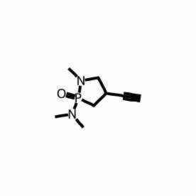 C#CC1CN(C)P(=O)(N(C)C)C1